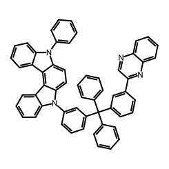 c1ccc(-n2c3ccccc3c3c4c5ccccc5n(-c5cccc(C(c6ccccc6)(c6ccccc6)c6cccc(-c7cnc8ccccc8n7)c6)c5)c4ccc32)cc1